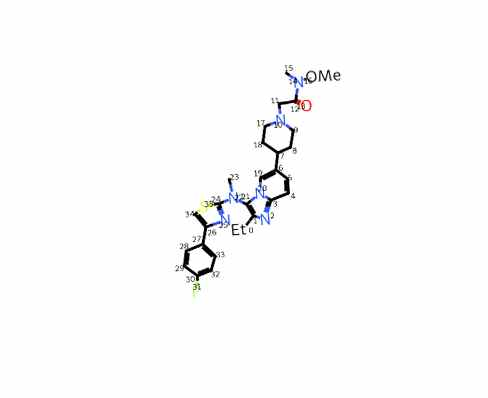 CCc1nc2ccc(C3CCN(CC(=O)N(C)OC)CC3)cn2c1N(C)c1nc(-c2ccc(F)cc2)cs1